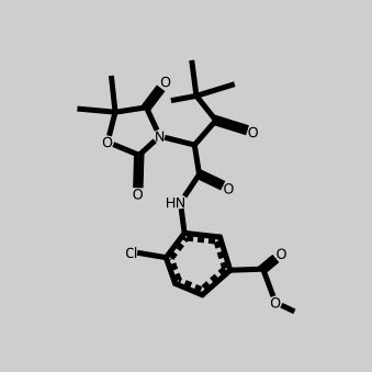 COC(=O)c1ccc(Cl)c(NC(=O)C(C(=O)C(C)(C)C)N2C(=O)OC(C)(C)C2=O)c1